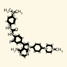 CN1CCN(C2CCC(n3cc(-c4ccc(NC(=O)Nc5ccc(N(C)C)cc5)c(F)c4)c4c(N)ncnc43)CC2)CC1